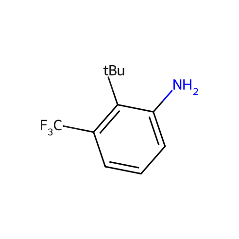 CC(C)(C)c1c(N)cccc1C(F)(F)F